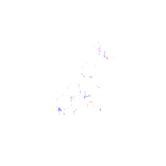 Cc1cc([N+](=O)[O-])ccc1-c1c(C)c2ccnc(Cl)c2n1C(=O)OC(C)(C)C